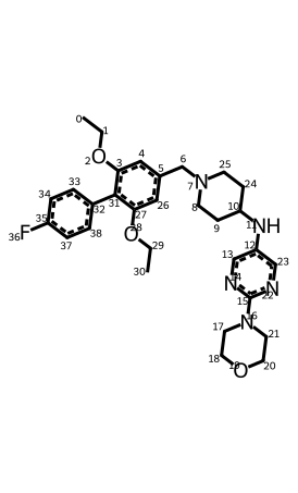 CCOc1cc(CN2CCC(Nc3cnc(N4CCOCC4)nc3)CC2)cc(OCC)c1-c1ccc(F)cc1